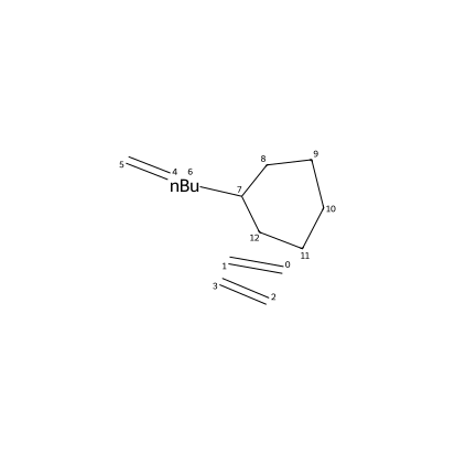 C=C.C=C.C=C.CCCCC1CCCCC1